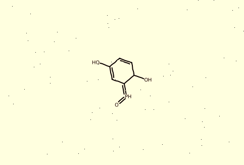 O=[PH]=C1C=C(O)C=CC1O